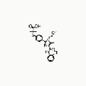 COCCn1c(-c2ccc(SC(C)(C)C(=O)O)cc2)nc(C(=O)Nc2ccccc2Cl)c1C